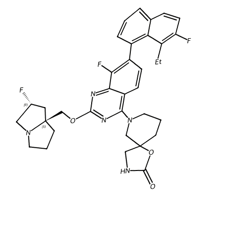 CCc1c(F)ccc2cccc(-c3ccc4c(N5CCCC6(CNC(=O)O6)C5)nc(OC[C@@]56CCCN5C[C@H](F)C6)nc4c3F)c12